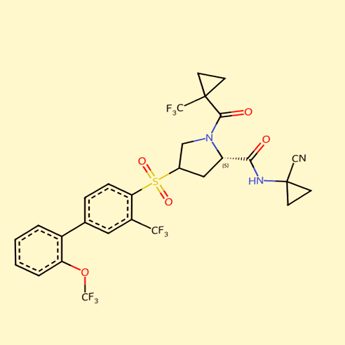 N#CC1(NC(=O)[C@@H]2CC(S(=O)(=O)c3ccc(-c4ccccc4OC(F)(F)F)cc3C(F)(F)F)CN2C(=O)C2(C(F)(F)F)CC2)CC1